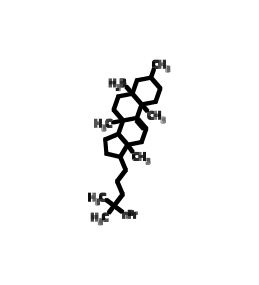 BC12CCC3(C)C(=CCC4(C)C(CCCC(C)(C)CCC)CCC34)C1(C)CCC(C)C2